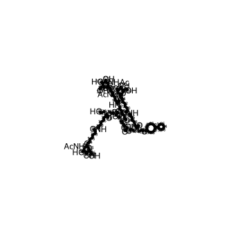 CC(=O)NC1C(OCCCCCC(=O)NCCCCCC(=O)N(CCO)CCOP(=O)(O)OCN(CCOP(=O)(O)OCCN(CCOC2CCCCC(C3CCCCC3)CCC2)C(=O)CCCCCNC(=O)CCCCCOC2OC(CO)C(O)C(O)C2NC(C)=O)C(=O)CCCCCNC(=O)CCCCCOC2OC(CO)C(O)C(O)C2NC(C)=O)OC(CO)C(O)C1O